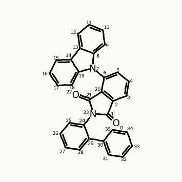 O=C1c2cccc(-n3c4ccccc4c4ccccc43)c2C(=O)N1c1ccccc1-c1ccccc1